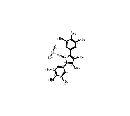 CCCCC1=C(c2cc(CCCC)c(CCCC)c(CCCC)c2)[N+](=[N-])C(c2cc(CCCC)c(CCCC)c(CCCC)c2)=C1CCCC.C[CH2][Ni][CH2]C